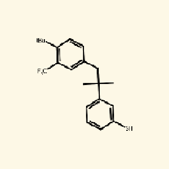 CC(C)(C)c1ccc(CC(C)(C)c2cccc(S)c2)cc1C(F)(F)F